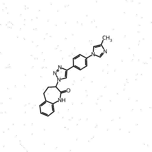 Cc1cn(-c2ccc(-c3cn(C4CCc5ccccc5NC4=O)nn3)cc2)cn1